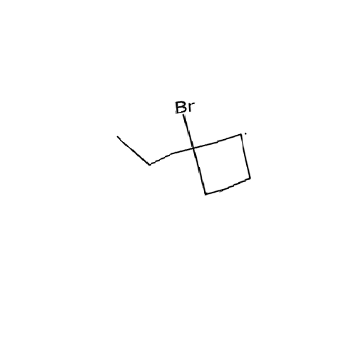 CCC1(Br)[CH]CC1